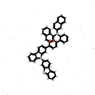 c1ccc(N(c2ccc3ccccc3c2)c2cccc3ccccc23)c(-c2ccc(-c3ccc4c5ccccc5n(-c5ccc6c(c5)oc5ccccc56)c4c3)cc2)c1